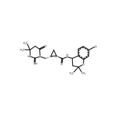 CC1(C)CC(=O)N(C[C@@H]2C[C@H]2C(=O)NC2CC(C)(C)Oc3cc(Cl)ccc32)C(=N)N1